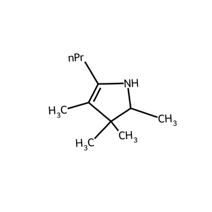 CCCC1=C(C)C(C)(C)C(C)N1